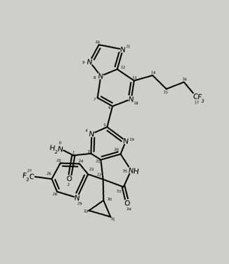 NC(=O)c1nc(-c2cn3ncnc3c(CCCC(F)(F)F)n2)nc2c1C(c1ccc(C(F)(F)F)cn1)(C1CC1)C(=O)N2